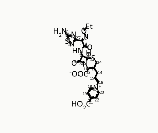 CCO/N=C(/C(=O)NC1C(=O)N2C(C(=O)[O-])=C(C/C=C/[n+]3ccc(C(=O)O)cc3)CS[C@H]12)c1nsc(N)n1